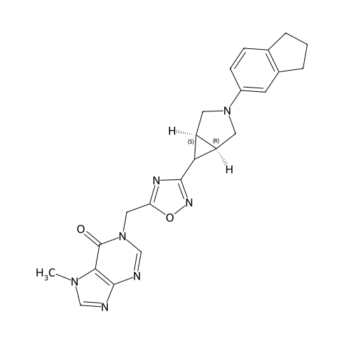 Cn1cnc2ncn(Cc3nc(C4[C@H]5CN(c6ccc7c(c6)CCC7)C[C@@H]45)no3)c(=O)c21